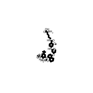 COc1cc(Nc2cc(Oc3ccc(N(C(N)=O)c4cc(C(C)(C)C)cc(NS(C)(=O)=O)c4OC)c4ccccc34)ccn2)ccc1C(=O)NCCCC[C@@H](N)C(=O)O